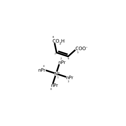 CCC[N+](CCC)(CCC)CCC.O=C([O-])/C=C\C(=O)O